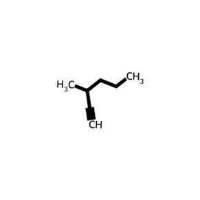 C#C[C](C)CCC